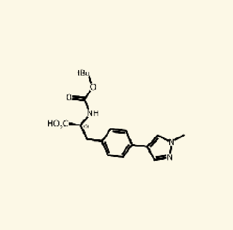 Cn1cc(-c2ccc(C[C@H](NC(=O)OC(C)(C)C)C(=O)O)cc2)cn1